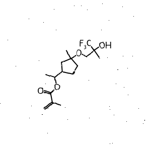 C=C(C)C(=O)OC(C)C1CCC(C)(OCC(C)(O)C(F)(F)F)C1